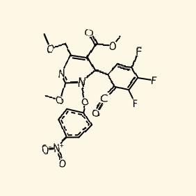 COCC1=C(C(=O)OC)C(C2C=C(F)C(F)=C(F)C2=C=O)N(Oc2ccc([N+](=O)[O-])cc2)C(OC)=N1